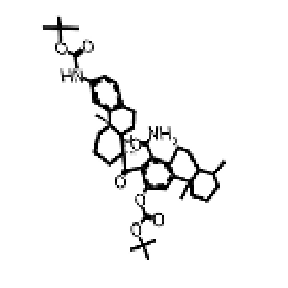 CC1CCCC2(C)c3cc(OC(=O)OC(C)(C)C)c(C(=O)[C@@]4(C)CCC[C@]5(C)c6cc(NC(=O)OC(C)(C)C)ccc6CC[C@@H]45)c(C(N)=O)c3CCC12